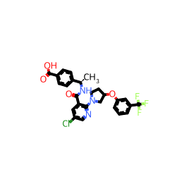 C[C@H](NC(=O)c1cc(Cl)cnc1N1CCC(Oc2cccc(C(F)(F)F)c2)C1)c1ccc(C(=O)O)cc1